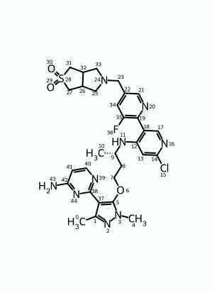 Cc1nn(C)c(OCC[C@H](C)Nc2cc(Cl)ncc2-c2ncc(CN3CC4CS(=O)(=O)CC4C3)cc2F)c1-c1nccc(N)n1